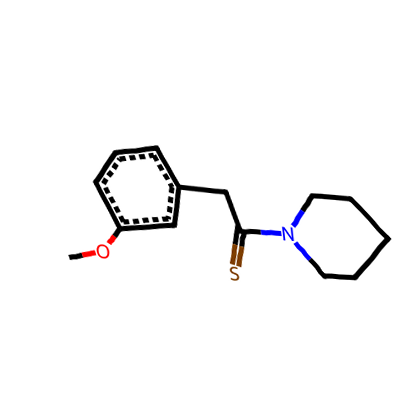 COc1cccc(CC(=S)N2CCCCC2)c1